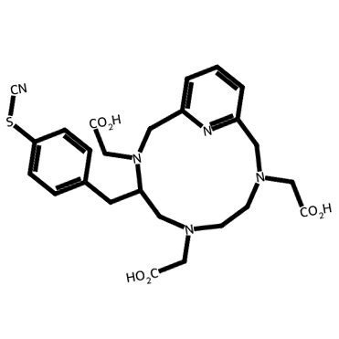 N#CSc1ccc(CC2CN(CC(=O)O)CCN(CC(=O)O)Cc3cccc(n3)CN2CC(=O)O)cc1